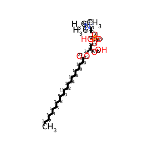 CCCCCCCCCCCCCCCCCCCCCC(=O)OC[C@H](COP(=O)(O)OCC[N+](C)(C)C)OO